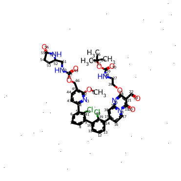 COc1nc(-c2cccc(-c3cccc(-c4ccn5c(=O)c(C=O)c(OCCNC(=O)OC(C)(C)C)nc5c4)c3Cl)c2Cl)ccc1COC(=O)NCC1CCC(=O)N1